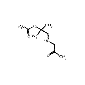 CC(=O)CNCC(C)(C)OC(C)=O